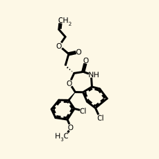 C=CCOC(=O)C[C@H]1O[C@H](c2cccc(OC)c2Cl)c2cc(Cl)ccc2NC1=O